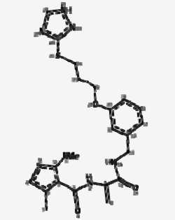 C=C(NC(=O)c1c(C)csc1NC)C(=O)NCc1cccc(OCCCSc2nc[nH]n2)c1